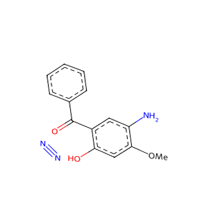 COc1cc(O)c(C(=O)c2ccccc2)cc1N.N#N